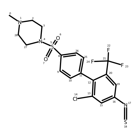 CN1CCN(S(=O)(=O)c2ccc(-c3c(Cl)cc(N=S)cc3C(F)(F)F)cc2)CC1